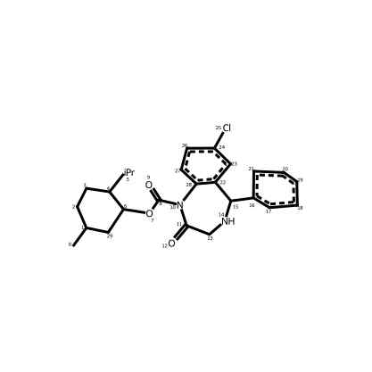 CC1CCC(C(C)C)C(OC(=O)N2C(=O)CNC(c3ccccc3)c3cc(Cl)ccc32)C1